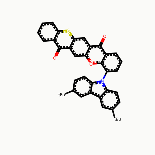 CC(C)(C)c1ccc2c(c1)c1cc(C(C)(C)C)ccc1n2-c1cccc2c(=O)c3cc4sc5ccccc5c(=O)c4cc3oc12